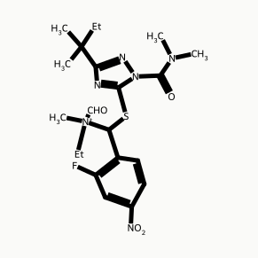 CCC(C)(C)c1nc(SC(c2ccc([N+](=O)[O-])cc2F)[N+](C)(C=O)CC)n(C(=O)N(C)C)n1